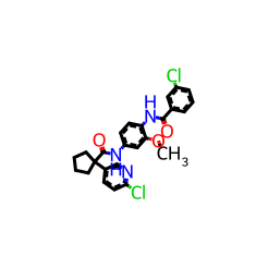 COc1cc(NC(=O)C2(c3ccc(Cl)nc3)CCCC2)ccc1NC(=O)c1cccc(Cl)c1